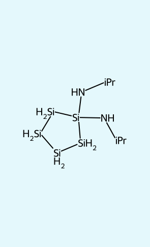 CC(C)N[Si]1(NC(C)C)[SiH2][SiH2][SiH2][SiH2]1